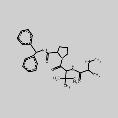 CNC(C)C(=O)NC(C(=O)N1CCCC1C(=O)NC(c1ccccc1)c1ccccc1)C(C)(C)C